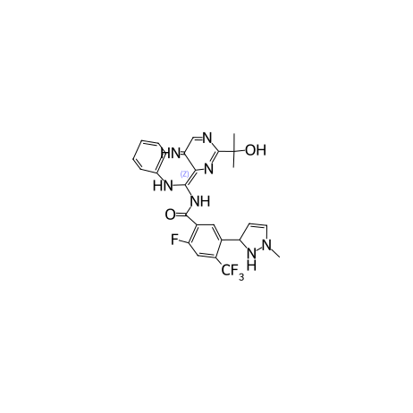 CN1C=CC(c2cc(C(=O)N/C(Nc3ccccc3)=C3\N=C(C(C)(C)O)N=CC3=N)c(F)cc2C(F)(F)F)N1